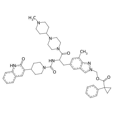 Cc1cc(CC(NC(=O)N2CCC(c3cc4ccccc4[nH]c3=O)CC2)C(=O)N2CCN(C3CCN(C)CC3)CC2)cc2cn(COC(=O)C3(c4ccccc4)CC3)nc12